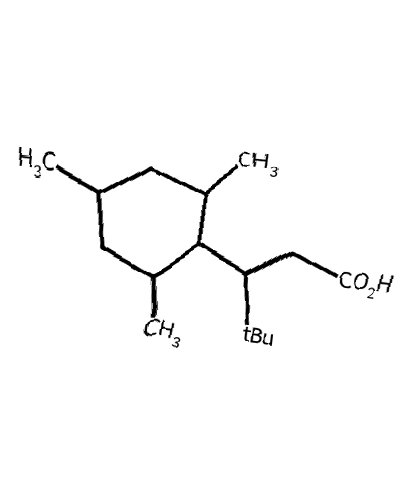 CC1CC(C)C(C(CC(=O)O)C(C)(C)C)C(C)C1